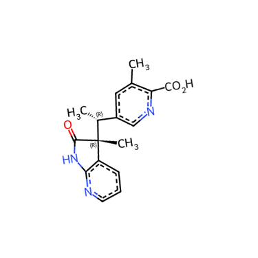 Cc1cc([C@@H](C)[C@@]2(C)C(=O)Nc3ncccc32)cnc1C(=O)O